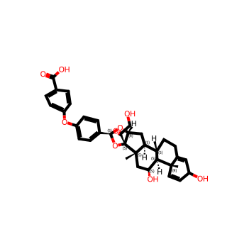 C[C@]12C=CC(O)C=C1CC[C@@H]1[C@@H]2[C@@H](O)C[C@@]2(C)[C@H]1C[C@H]1O[C@H](c3ccc(Oc4ccc(C(=O)O)cc4)cc3)O[C@]12C(=O)CO